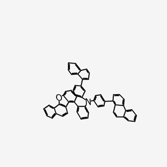 c1cc(-c2cccc3ccccc23)cc(N(c2ccc(-c3cccc4c3ccc3ccccc34)cc2)c2ccccc2-c2cccc3oc4c5ccccc5ccc4c23)c1